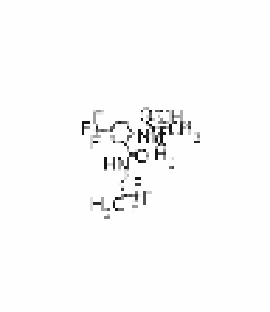 C=C(CCNC(=O)c1cc(C(F)(F)F)ccc1N[S+]([O-])C(C)(C)C)C(F)(F)F